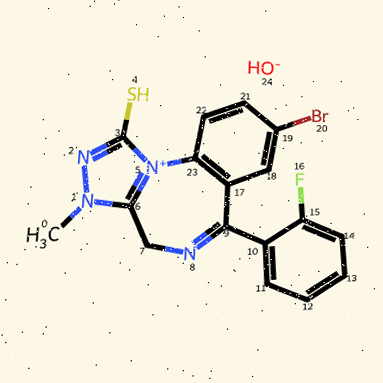 Cn1nc(S)[n+]2c1CN=C(c1ccccc1F)c1cc(Br)ccc1-2.[OH-]